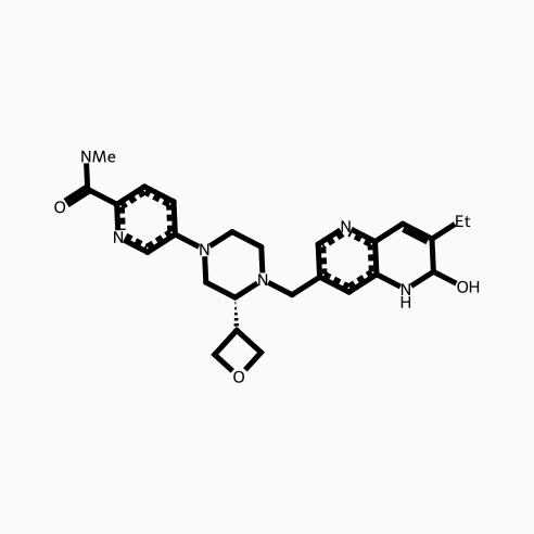 CCC1=Cc2ncc(CN3CCN(c4ccc(C(=O)NC)nc4)C[C@H]3C3COC3)cc2NC1O